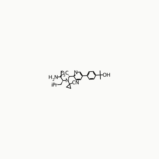 CC(C)C[C@@H](C(N)=O)N([C@@H](c1ccc(-c2ccc(C(C)(C)O)cc2)cn1)C(F)(F)F)C1(C#N)CC1